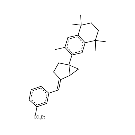 CCOC(=O)c1cccc(/C=C2\CCC3(c4cc5c(cc4C)C(C)(C)CCC5(C)C)CC23)c1